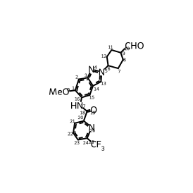 COc1cc2nn(C3CCC(C=O)CC3)cc2cc1NC(=O)c1cccc(C(F)(F)F)n1